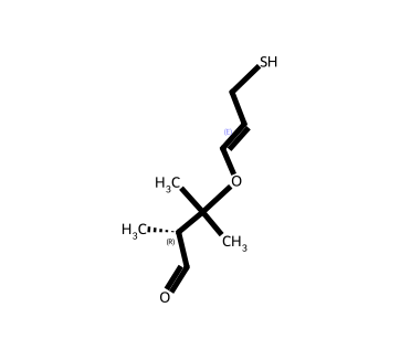 C[C@@H](C=O)C(C)(C)O/C=C/CS